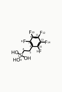 O[Si](O)(O)CCc1c(F)c(F)c(F)c(F)c1F